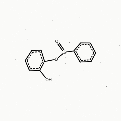 O=S(Oc1ccccc1O)c1ccccc1